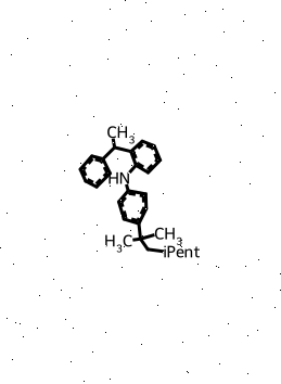 CCCC(C)CC(C)(C)c1ccc(Nc2ccccc2C(C)c2ccccc2)cc1